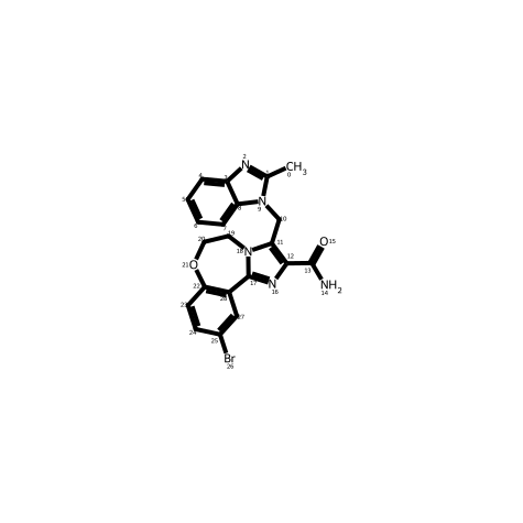 Cc1nc2ccccc2n1Cc1c(C(N)=O)nc2n1CCOc1ccc(Br)cc1-2